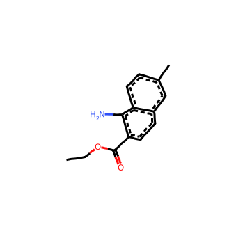 CCOC(=O)c1ccc2cc(C)ccc2c1N